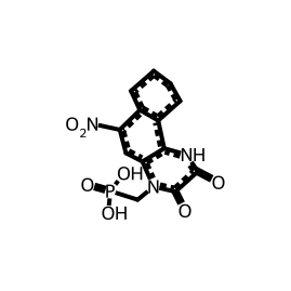 O=c1[nH]c2c3ccccc3c([N+](=O)[O-])cc2n(CP(=O)(O)O)c1=O